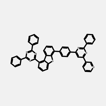 c1ccc(-c2nc(-c3ccc(-c4cccc5c4sc4cccc(-c6nc(-c7ccccc7)nc(-c7ccccc7)n6)c45)cc3)cc(-c3cccnc3)n2)cc1